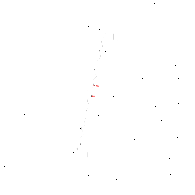 CCCCCCCCCCCCC(=O)OC(=O)CCCCCCCCCC